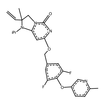 C=CC1(C)Cn2c(cc(OCc3cc(F)c(Oc4ccc(C)nc4)c(F)c3)nc2=O)N1C(C)C